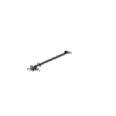 CC(=O)NC(O)C(O)C(C)OC(C)OCCCCC(=O)NCCOCCOCCOCCOCCOCCOCCOCCOCCOCCOCCOCCn1cc(CO)nn1